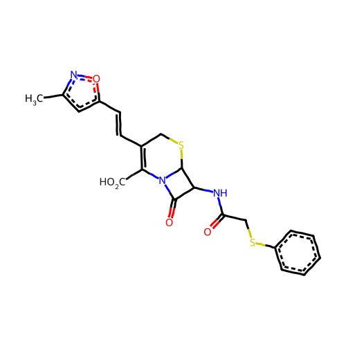 Cc1cc(C=CC2=C(C(=O)O)N3C(=O)C(NC(=O)CSc4ccccc4)C3SC2)on1